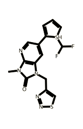 Cn1c(=O)n(Cc2csnn2)c2cc(C3=CC=C[SH]3C(F)F)cnc21